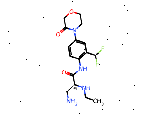 CCN[C@H](CN)C(=O)Nc1ccc(N2CCOCC2=O)cc1C(F)F